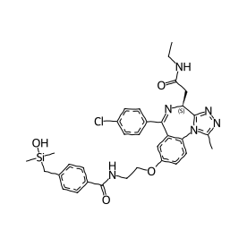 CCNC(=O)C[C@@H]1N=C(c2ccc(Cl)cc2)c2cc(OCCNC(=O)c3ccc(C[Si](C)(C)O)cc3)ccc2-n2c(C)nnc21